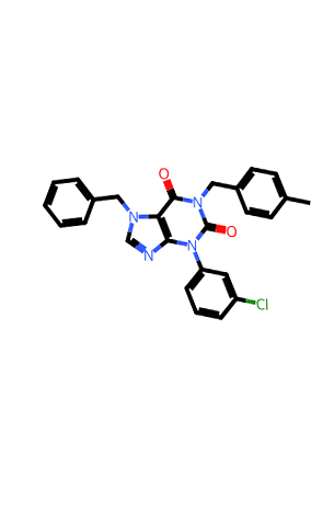 Cc1ccc(Cn2c(=O)c3c(ncn3Cc3ccccc3)n(-c3cccc(Cl)c3)c2=O)cc1